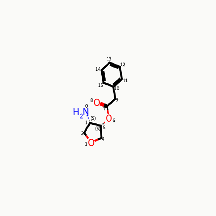 N[C@H]1COC[C@H]1OC(=O)Cc1ccccc1